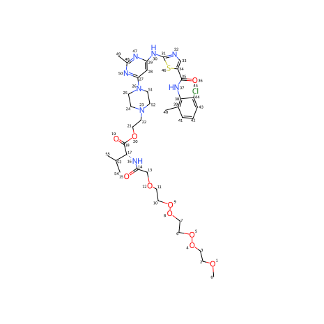 COCCOOCCOOCCOCC(=O)N[C@@H](C(=O)OCCN1CCN(c2cc(Nc3ncc(C(=O)Nc4c(C)cccc4Cl)s3)nc(C)n2)CC1)C(C)C